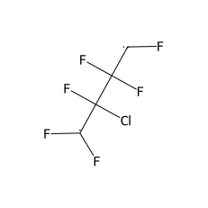 F[CH]C(F)(F)C(F)(Cl)[C](F)F